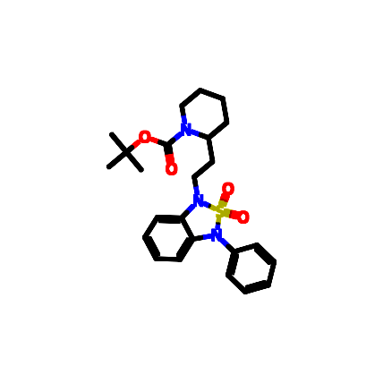 CC(C)(C)OC(=O)N1CCCCC1CCN1c2ccccc2N(c2ccccc2)S1(=O)=O